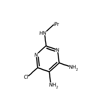 CC(C)Nc1nc(N)c(N)c(Cl)n1